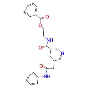 O=C(CC1C=NC=C(C(=O)NCCOC(=O)c2ccccc2)C1)Nc1ccccc1